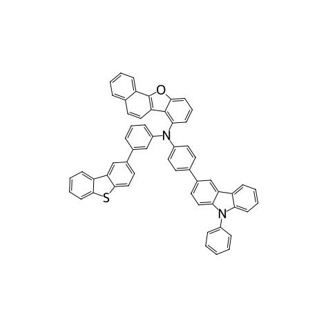 c1ccc(-n2c3ccccc3c3cc(-c4ccc(N(c5cccc(-c6ccc7sc8ccccc8c7c6)c5)c5cccc6oc7c8ccccc8ccc7c56)cc4)ccc32)cc1